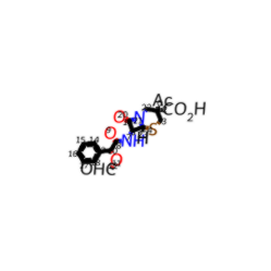 CC(=O)C1(C(=O)O)CS[C@@H]2C(NC(=O)C(OC=O)c3ccccc3)C(=O)N2C1